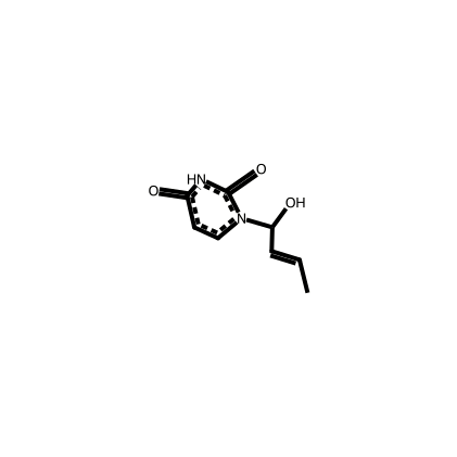 CC=CC(O)n1ccc(=O)[nH]c1=O